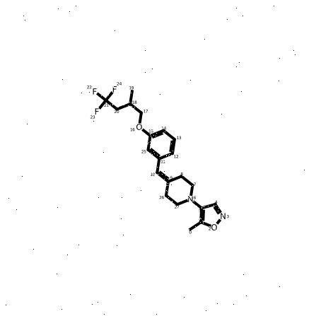 Cc1oncc1N1CCC(=Cc2cccc(OCC(C)CC(F)(F)F)c2)CC1